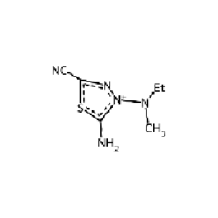 CCN(C)[n+]1nc(C#N)sc1N